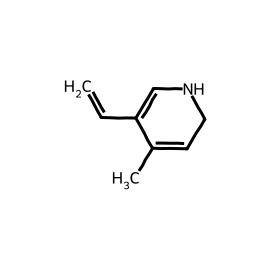 C=CC1=CNCC=C1C